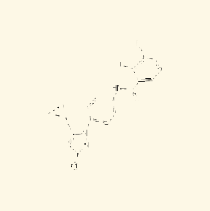 O=C(Nc1ccc(-n2nc(C(F)(F)F)cc2C2CC2)cc1)c1cccc(F)c1F